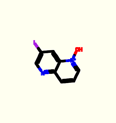 O[n+]1cccc2ncc(I)cc21